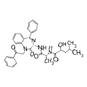 CC(C)CC(O)C(=O)N[C@@H](C)C(=O)NC1N=C(c2ccccc2)c2ccccc2N(CC(=O)c2ccccc2)C1=O